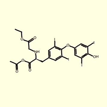 CCOC(=O)CN[C@@H](Cc1cc(I)c(Oc2cc(I)c(O)c(I)c2)c(I)c1)C(=O)OC(C)=O